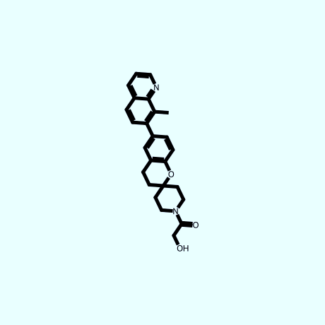 Cc1c(-c2ccc3c(c2)CCC2(CCN(C(=O)CO)CC2)O3)ccc2cccnc12